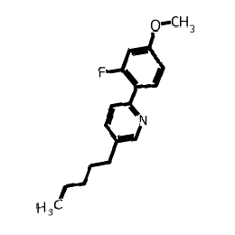 CCCCCc1ccc(-c2ccc(OC)cc2F)nc1